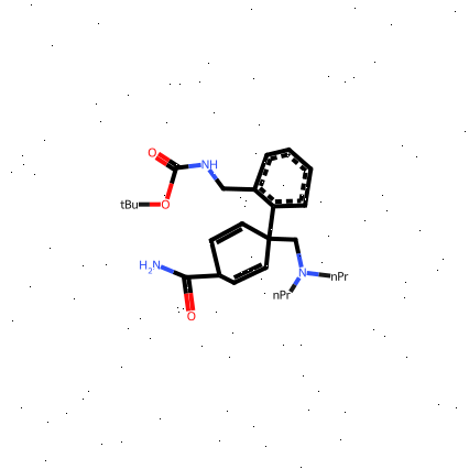 CCCN(CCC)CC1(c2ccccc2CNC(=O)OC(C)(C)C)C=CC(C(N)=O)C=C1